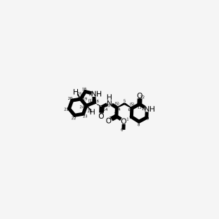 COC(=O)[C@H](C[C@@H]1CCCNC1=O)NC(=O)[C@H]1NC[C@@H]2CCCC[C@@H]21